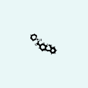 O=C(NN1CCCCC1)C1=CC=C2C=c3ccccc3=CN=C2C1